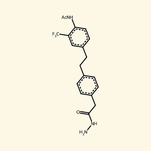 CC(=O)Nc1ccc(CCc2ccc(CC(=O)NN)cc2)cc1C(F)(F)F